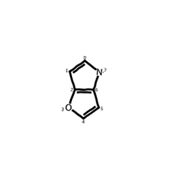 C1=Cc2occc2[N]1